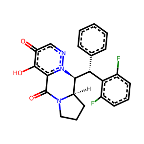 O=C1c2c(O)c(=O)cnn2[C@@H]([C@H](c2ccccc2)c2c(F)cccc2F)[C@H]2CCCN12